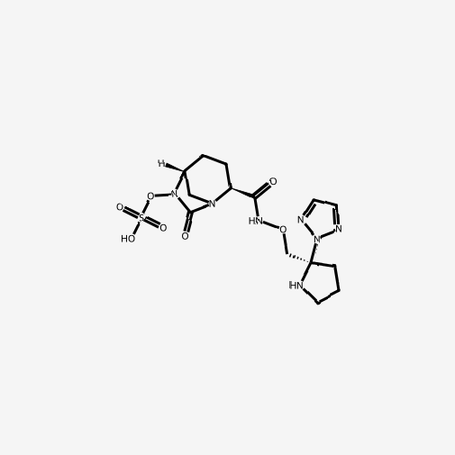 O=C(NOC[C@]1(n2nccn2)CCCN1)[C@@H]1CC[C@@H]2CN1C(=O)N2OS(=O)(=O)O